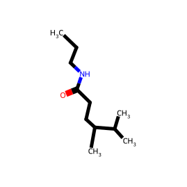 CCCNC(=O)CCC(C)C(C)C